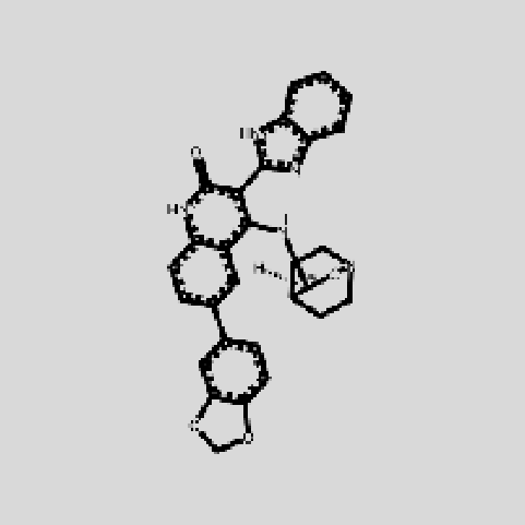 O=c1[nH]c2ccc(-c3ccc4c(c3)OCO4)cc2c(N[C@H]2CN3CCC2CC3)c1-c1nc2ccccc2[nH]1